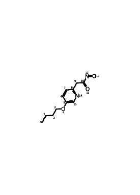 CCCCOc1ccc(CC(=O)N=O)nc1